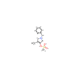 CC1=C(OS(=O)(=O)C(F)(F)F)CN(Cc2ccccc2)C1